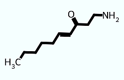 CCCCCC=CC(=O)CCN